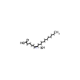 CCCCCCCCCCC/C=C\CCCCC(=O)O.[KH]